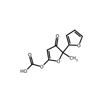 CC1(c2ccco2)OC(OC(=O)O)=CC1=O